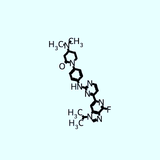 CC(C)n1cnc2c(F)nc(-c3ccnc(Nc4ccc(N5CCC(N(C)C)CC5=O)cc4)n3)cc21